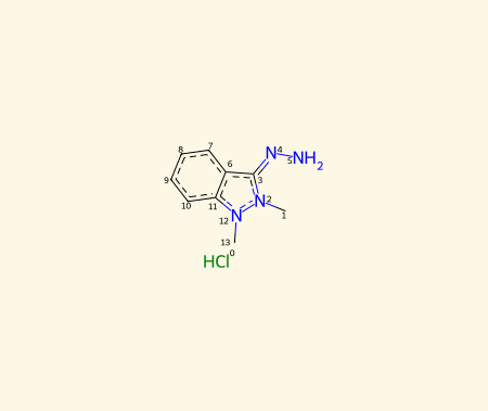 Cl.Cn1c(=NN)c2ccccc2n1C